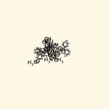 COc1ccc(C(OC[C@@]23CN(S(C)(=O)=O)[C@@H]([C@H](n4cnc5c(OC(=O)N(c6ccccc6)c6ccccc6)nc(NC(=O)C(C)C)nc54)O2)[C@@H]3O[Si](C)(C)C)(c2ccccc2)c2ccc(OC)cc2)cc1